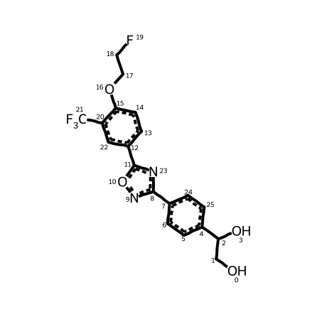 OCC(O)c1ccc(-c2noc(-c3ccc(OCCF)c(C(F)(F)F)c3)n2)cc1